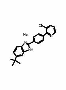 CC(C)(C)c1ccc2nc(-c3ccc(-c4ncccc4Cl)cc3)[nH]c2c1.[Na]